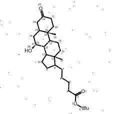 CC(C)(C)OC(=O)CCCCC1CCC2C3C(CCC12C)[C@@]1(C)CCC(=O)CC1C[C@@H]3O